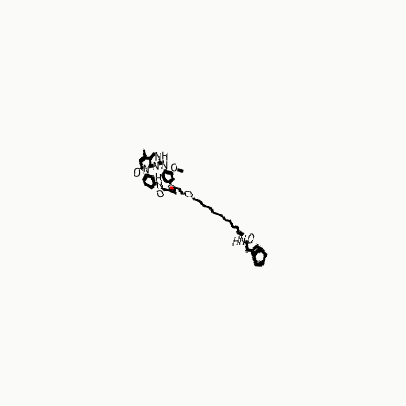 COc1cc(OCCOCCCCCCCCCCCCNC(=O)CC23CC4CC(CC2C4)C3)ccc1Nc1ncc2c(C)cc(=O)n(-c3cccc(NC(=O)C4CC4)c3)c2n1